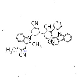 C=C/C(C#N)=C\c1c(C)n(C2C=C(C3C=C(C#N)C=C(c4ccccc4-n4c5ccccc5c5ccccc54)C3C)C=C(C#N)C2)c2ccccc12